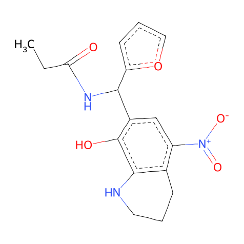 CCC(=O)NC(c1ccco1)c1cc([N+](=O)[O-])c2c(c1O)NCCC2